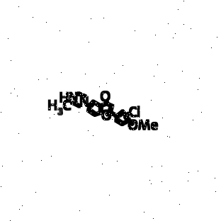 COc1ccc(-c2cc(=O)c3cc(N4CCN[C@H](C)C4)ccc3o2)cc1Cl